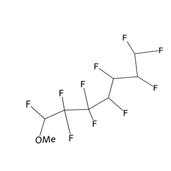 COC(F)C(F)(F)C(F)(F)C(F)C(F)C(F)C(F)F